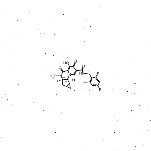 CN1C(=O)c2c(O)c(=O)c(C(=O)NCc3c(F)cc(F)cc3F)cn2[C@H]2C3CC3C[C@H]21